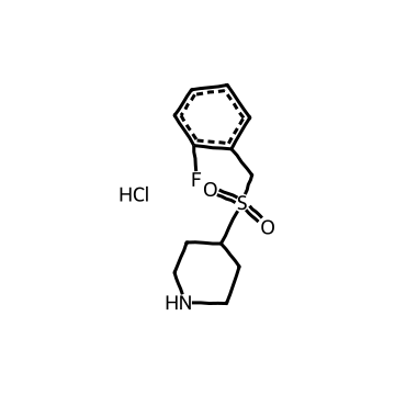 Cl.O=S(=O)(Cc1ccccc1F)C1CCNCC1